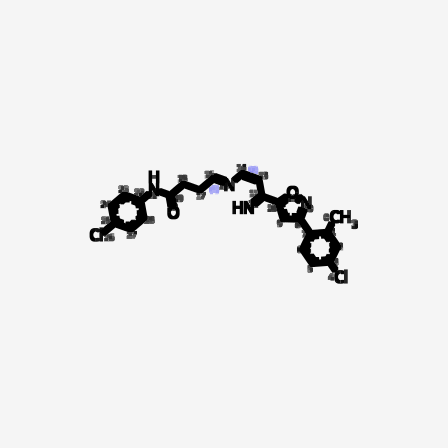 Cc1cc(Cl)ccc1-c1cc(C(=N)/C=C\N=C\CCC(=O)Nc2ccc(Cl)cc2)on1